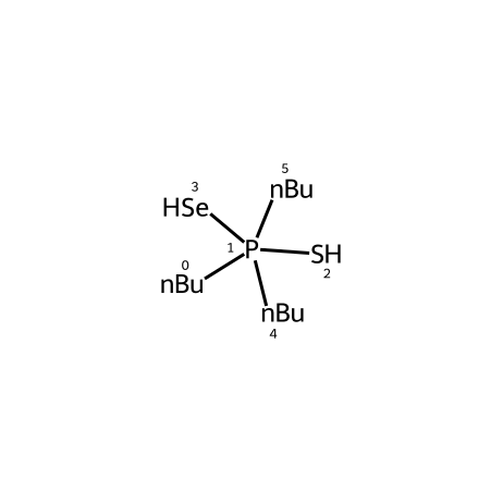 CCCCP(S)([SeH])(CCCC)CCCC